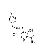 NC(=O)c1[nH]cc(C(=O)NCc2ccc(F)cc2)c(=O)c1O